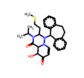 CSCCC1N(C(C)C)C(=O)C2C(O)C(=O)C=CN2N1C1c2ccccc2CCc2ccccc21